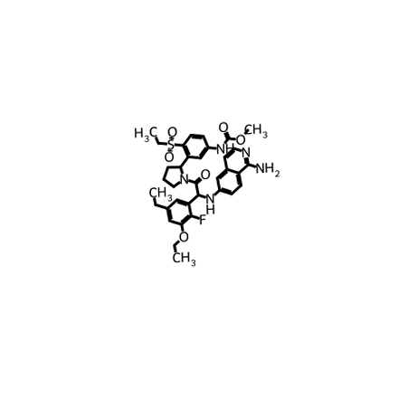 CCOc1cc(CC)cc(C(Nc2ccc3c(N)nccc3c2)C(=O)N2CCCC2c2cc(NC(=O)OC)ccc2S(=O)(=O)CC)c1F